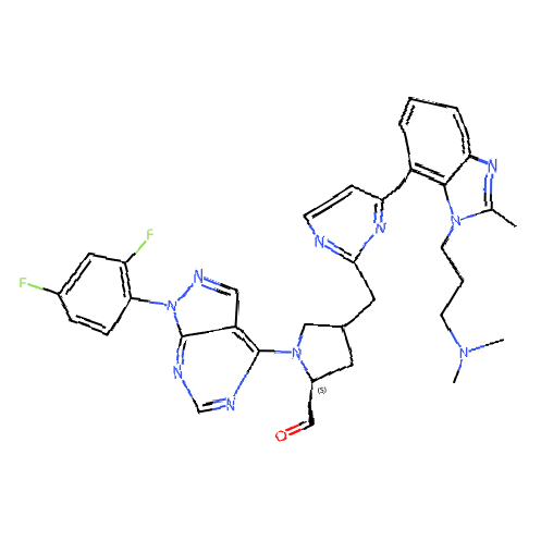 Cc1nc2cccc(-c3ccnc(CC4C[C@@H](C=O)N(c5ncnc6c5cnn6-c5ccc(F)cc5F)C4)n3)c2n1CCCN(C)C